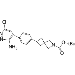 CC(C)(C)OC(=O)N1CC2(CC(c3ccc(-c4cc(Cl)nnc4N)cc3)C2)C1